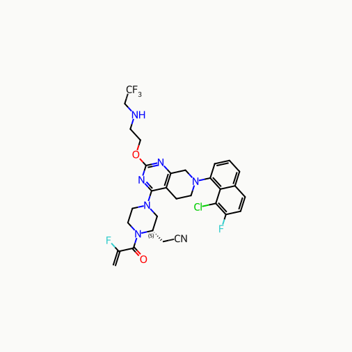 C=C(F)C(=O)N1CCN(c2nc(OCCNCC(F)(F)F)nc3c2CCN(c2cccc4ccc(F)c(Cl)c24)C3)C[C@@H]1CC#N